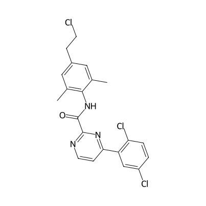 Cc1cc(CCCl)cc(C)c1NC(=O)c1nccc(-c2cc(Cl)ccc2Cl)n1